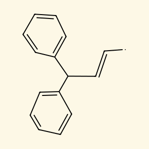 [CH2]C=CC(c1ccccc1)c1ccccc1